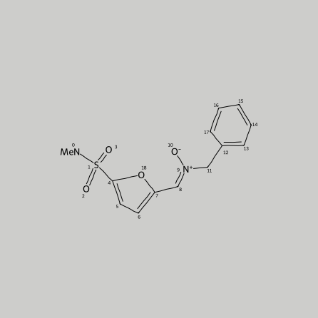 CNS(=O)(=O)c1ccc(C=[N+]([O-])Cc2ccccc2)o1